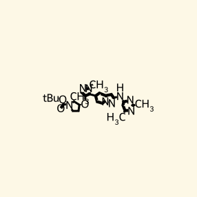 Cc1cc(Nc2cc3cc(-c4c(O[C@H]5CCN(C(=O)OC(C)(C)C)[C@@H]5C)cnn4C)ccn3n2)nc(C)n1